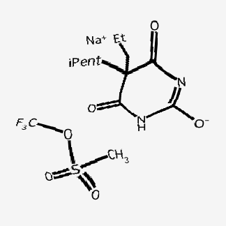 CCCC(C)C1(CC)C(=O)N=C([O-])NC1=O.CS(=O)(=O)OC(F)(F)F.[Na+]